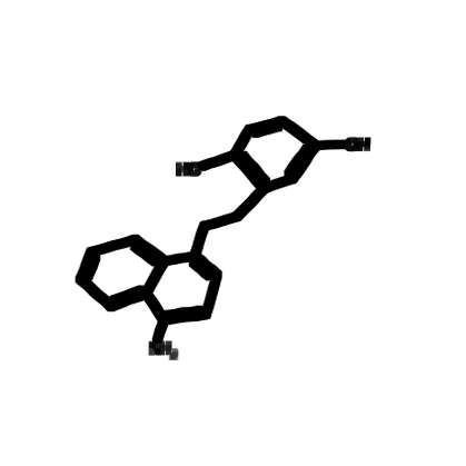 Nc1ccc(CCc2cc(O)ccc2O)c2ccccc12